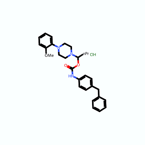 CCCC(OC(=O)Nc1ccc(Cc2ccccc2)cc1)N1CCN(c2ccccc2OC)CC1.Cl